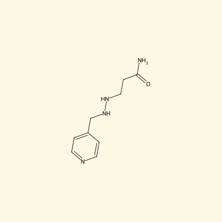 NC(=O)CCNNCc1ccncc1